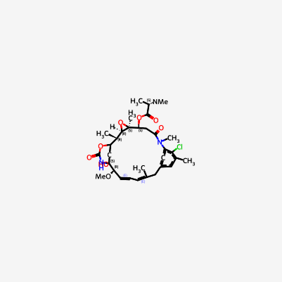 CN[C@@H](C)C(=O)O[C@H]1CC(=O)N(C)c2cc(cc(C)c2Cl)C/C(C)=C/C=C/[C@@H](OC)[C@@]2(O)CC(OC(=O)N2)[C@@H](C)[C@H]2O[C@@]12C